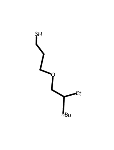 CCCCC(CC)COCCCS